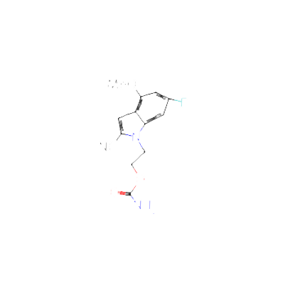 COc1cc(F)cc2c1cc(C#N)n2CCOC(N)=O